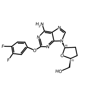 Nc1nc(Oc2ccc(F)c(F)c2)nc2c1ncn2[C@H]1CC[C@@H](CO)O1